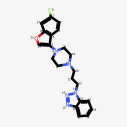 Fc1ccc2c(N3CCN(CCCn4nnc5ccccc54)CC3)coc2c1